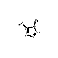 CCCc1nnnn1CC